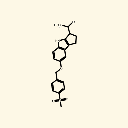 CCC(C(=O)O)C1CCc2c1[nH]c1ccc(OCc3ccc(S(C)(=O)=O)cc3)cc21